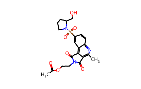 CC(=O)OCCN1C(=O)c2c(C)nc3ccc(S(=O)(=O)N4CCCC4CO)cc3c2C1=O